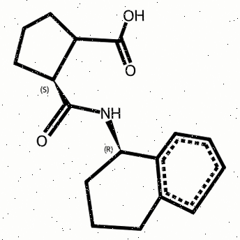 O=C(O)C1CCC[C@@H]1C(=O)N[C@@H]1CCCc2ccccc21